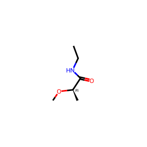 CCNC(=O)[C@@H](C)OC